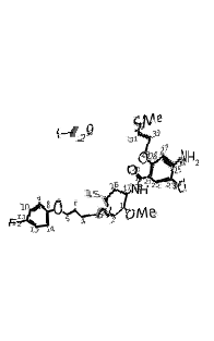 CO[C@H]1CN(CCCOc2ccc(F)cc2)CC[C@H]1NC(=O)c1cc(Cl)c(N)cc1OCCSC.O